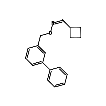 [C](=N/OCc1cccc(-c2ccccc2)c1)/C1CCC1